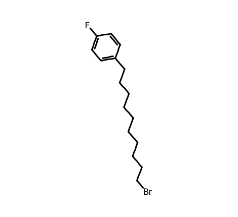 Fc1ccc(CCCCCCCCCCBr)cc1